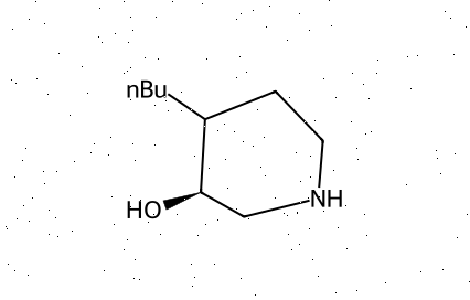 CCCCC1CCNC[C@H]1O